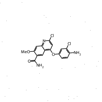 COc1cc2nc(Cl)cc(Oc3ccc(N)c(Cl)c3)c2cc1C(N)=O